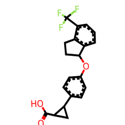 O=C(O)C1CC1c1ccc(OC2CCc3c2cccc3C(F)(F)F)cc1